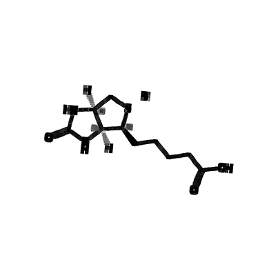 O=C(O)CCCC[C@@H]1SC[C@@H]2NC(=O)N[C@@H]21.[B]